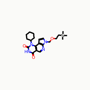 C[Si](C)(C)CCOCn1ccc2c1ncc1c(=O)[nH]c(=O)n(C3CCCCC3)c12